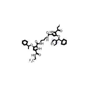 C/C=C(\C=C/CC)C(Oc1cc(C(=O)NCCCNC(=O)c2[nH]c(C(=O)NCC(F)(F)F)cc2OC(C)c2ccccc2)[nH]c1C(=O)CI)c1ccccc1